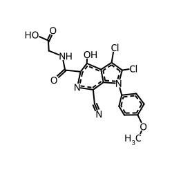 COc1ccc(-n2c(Cl)c(Cl)c3c(O)c(C(=O)NCC(=O)O)nc(C#N)c32)cc1